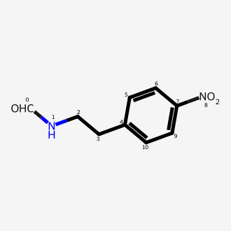 O=CNCCc1ccc([N+](=O)[O-])cc1